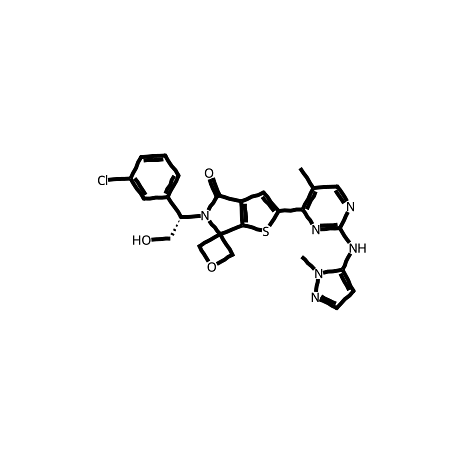 Cc1cnc(Nc2ccnn2C)nc1-c1cc2c(s1)C1(COC1)N([C@H](CO)c1cccc(Cl)c1)C2=O